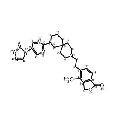 Cc1c(CCN2CCC3(CCCN(c4ncc(-n5cnnn5)cn4)C3)CC2)ccc2c1COC2=O